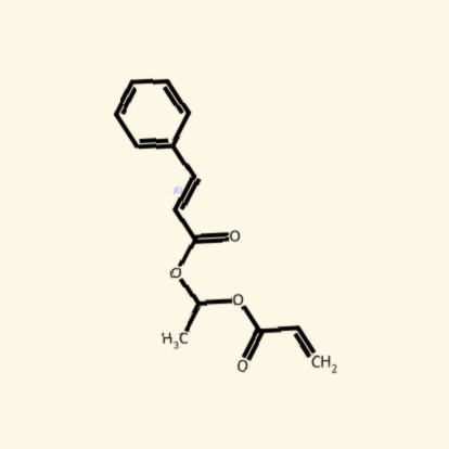 C=CC(=O)OC(C)OC(=O)/C=C/c1ccccc1